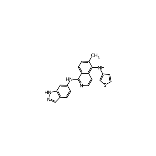 Cc1ccc2c(Nc3ccc4cn[nH]c4c3)nccc2c1Nc1ccsc1